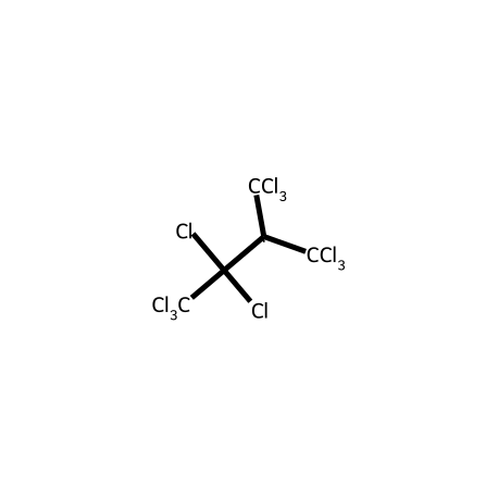 ClC(Cl)(Cl)[C](C(Cl)(Cl)Cl)C(Cl)(Cl)C(Cl)(Cl)Cl